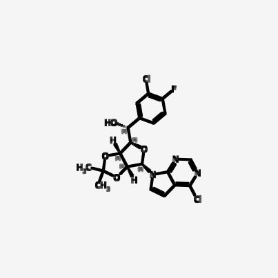 CC1(C)O[C@H]2[C@@H](O1)[C@H](n1ccc3c(Cl)ncnc31)O[C@@H]2[C@H](O)c1ccc(F)c(Cl)c1